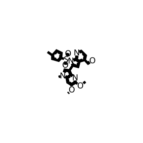 COc1cc2c(nc1OC)c(-c1cc3c(C=O)ccnc3n1S(=O)(=O)c1ccc(C)cc1)cn2C